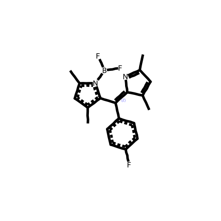 CC1=CC(C)=N/C1=C(/c1ccc(F)cc1)c1c(C)cc(C)n1B(F)F